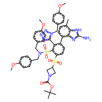 COc1ccc(CN(Cc2ccc(OC)cc2)S(=O)(=O)c2c(S(=O)(=O)C3CN(C(=O)OC(C)(C)C)C3)ccc(-c3ccc(C)c4[nH]c(N)nc34)c2-c2nnnn2Cc2ccc(OC)cc2)cc1